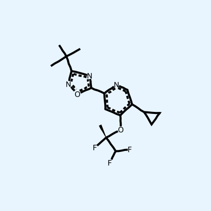 CC(C)(C)c1noc(-c2cc(O[C@@](C)(F)C(F)F)c(C3CC3)cn2)n1